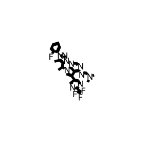 Cc1c(C(C)n2cc(-c3cnc(C(F)(F)F)nc3)c3c(/N=C/N(C)C)ncnc32)nnn1-c1ccccc1F